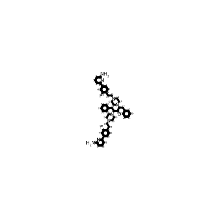 Nc1cccc(-c2ccc(CCN3CCN(C(Cc4ccccc4)C(=O)C(Cc4ccccc4)N4CCN(CCc5ccc(-c6cccc(N)n6)cc5F)CC4)CC3)c(F)c2)n1